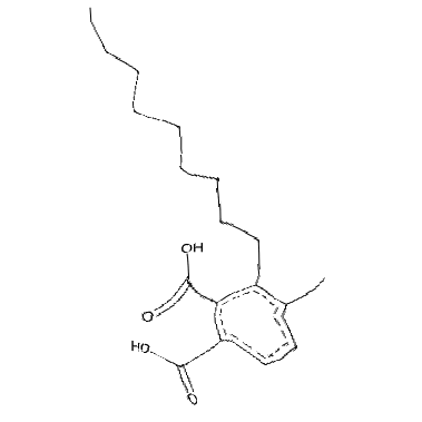 CCCCCCCCCc1c(C)ccc(C(=O)O)c1C(=O)O